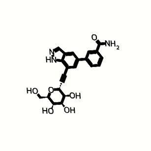 NC(=O)c1cccc(-c2cc(C#C[C@H]3O[C@H](CO)[C@@H](O)[C@H](O)[C@@H]3O)c3[nH]ncc3c2)c1